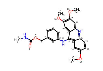 CNC(=O)OCc1cccc(Nc2c3cc(OC)ccc3nc3cc(OC)c(OC)cc23)c1